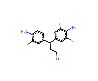 Nc1ccc(C(CCCl)c2cc(Cl)c(N)c(Cl)c2)cc1Cl